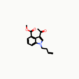 C=CCCn1cc(C(C)=O)c2c(C(=O)OC)cccc21